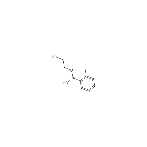 Cc1ccccc1B(O)OCCO